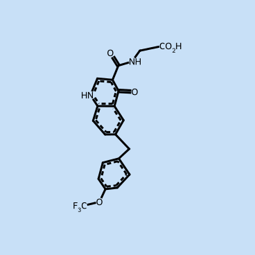 O=C(O)CNC(=O)c1c[nH]c2ccc(Cc3ccc(OC(F)(F)F)cc3)cc2c1=O